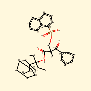 CCC(CC)(OC(=O)C(C)(COS(=O)(=O)c1cccc2ccccc12)C(=O)c1ccccc1)C12CC3CC(CC(C3)C1)C2